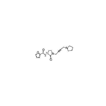 O=C(S[C@@H]1CCN(CC#CCN2CCCC2)C1=O)c1ccco1